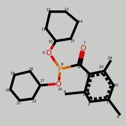 Cc1cc(C)c(C(=O)P(OC2CCCCC2)OC2CCCCC2)c(C)c1